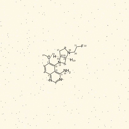 COc1ccc2ncnc(N)c2c1N1C[C@H]2[C@@H]1CCN2CCF